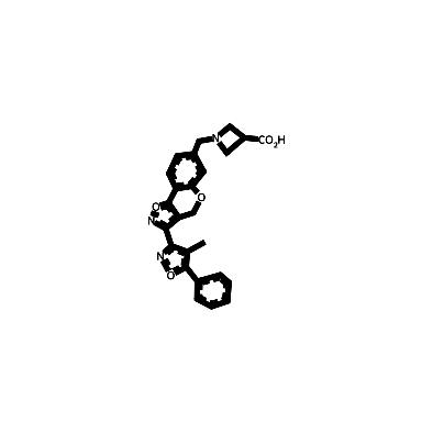 Cc1c(-c2noc3c2COc2cc(CN4CC(C(=O)O)C4)ccc2-3)noc1-c1ccccc1